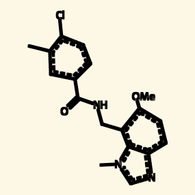 COc1ccc2ncn(C)c2c1CNC(=O)c1ccc(Cl)c(C)c1